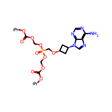 CC(C)OC(=O)OCOP(=O)(CO[C@H]1C[C@@H](n2cnc3c(N)ncnc32)C1)OCOC(=O)OC(C)C